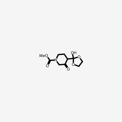 COC(=O)N1CCC(C2(O)OCCO2)C(=O)C1